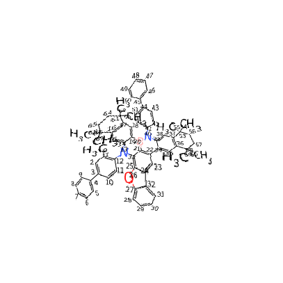 Cc1cc(-c2ccccc2)ccc1N1c2cc3c(cc2B2c4c(cc5c(oc6ccccc65)c41)-c1cc4c(cc1N2c1ccc(-c2ccccc2)cc1)C(C)(C)CCC4(C)C)C(C)(C)CCC3(C)C